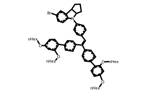 CCCCCCOc1ccc(-c2ccc(C(=Cc3ccc(N4c5ccc(Br)cc5C5CCCC54)cc3)c3ccc(-c4ccc(OCCCCCC)cc4OCCCCCC)cc3)cc2)c(OCCCCCC)c1